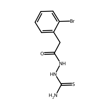 NC(=S)NNC(=O)Cc1ccccc1Br